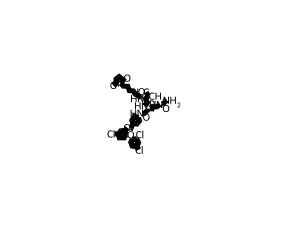 CC(C)[C@H](NC(=O)CCCCCN1C(=O)C=CC1=O)C(=O)N[C@@H](CCCNC(N)=O)C(=O)Nc1ccc(COc2cc(Cl)ccc2Oc2ccc(Cl)cc2Cl)cc1